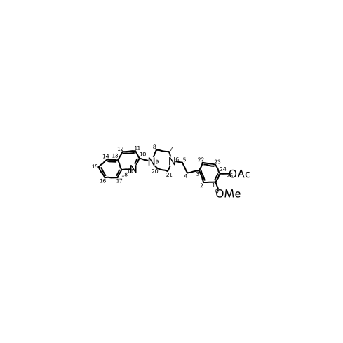 COc1cc(CCN2CCN(c3ccc4ccccc4n3)CC2)ccc1OC(C)=O